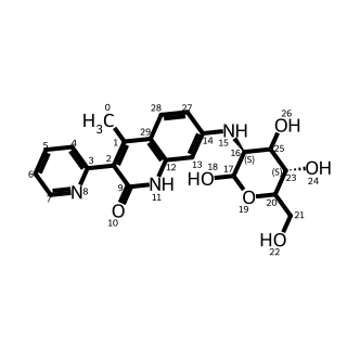 Cc1c(-c2ccccn2)c(=O)[nH]c2cc(N[C@@H]3C(O)OC(CO)[C@@H](O)C3O)ccc12